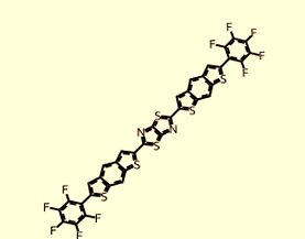 Fc1c(F)c(F)c(-c2cc3cc4cc(-c5nc6sc(-c7cc8cc9cc(-c%10c(F)c(F)c(F)c(F)c%10F)sc9cc8s7)nc6s5)sc4cc3s2)c(F)c1F